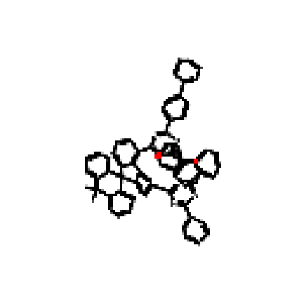 CC1(C)c2ccccc2C2(c3ccc(-c4nc(-c5ccccc5)nc(-c5ccccc5-c5ccccc5)n4)cc3-c3c(-c4nc(-c5ccccc5)nc(-c5ccc(-c6ccccc6)cc5)n4)cccc32)c2ccccc21